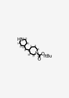 CC(C)(C)OC(=O)N1CCCC(CC2CCNCC2)CC1